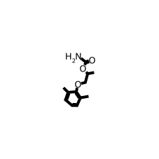 Cc1cccc(C)c1OCC(C)OC(N)=O